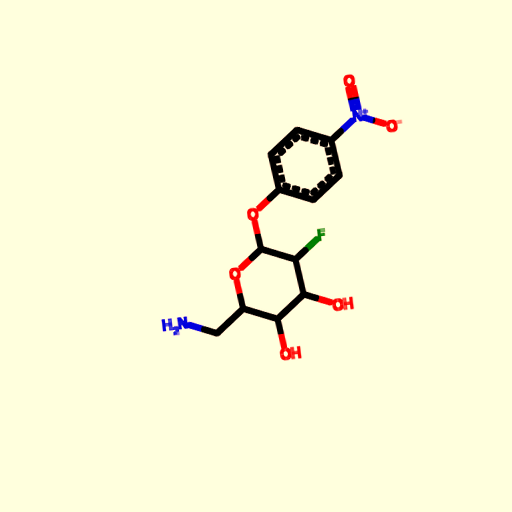 NCC1OC(Oc2ccc([N+](=O)[O-])cc2)C(F)C(O)C1O